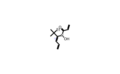 C=C/C=C(\N(O)C(=O)C=C)C(C)(C)CC